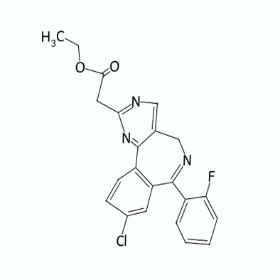 CCOC(=O)Cc1ncc2c(n1)-c1ccc(Cl)cc1C(c1ccccc1F)=NC2